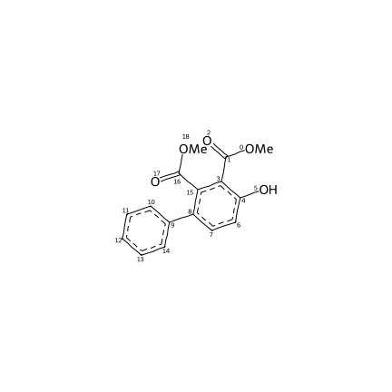 COC(=O)c1c(O)ccc(-c2ccccc2)c1C(=O)OC